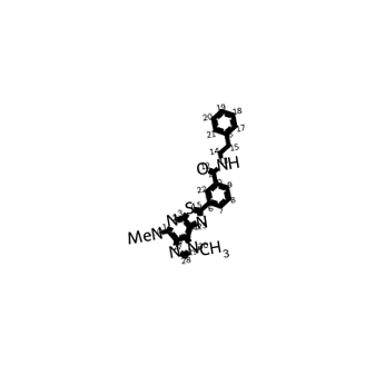 CNc1nc2sc(-c3cccc(C(=O)NCCc4ccccc4)c3)nc2c2c1ncn2C